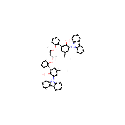 CCCCc1cc(-c2ccccc2OC(C)C[C@H](C)Oc2ccccc2-c2cc(CCCC)cc(-n3c4ccccc4c4ccccc43)c2O)c(O)c(-n2c3ccccc3c3ccccc32)c1